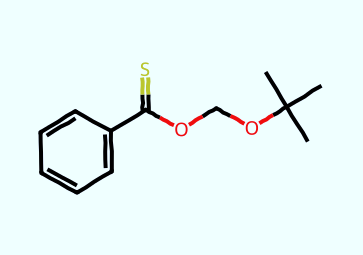 CC(C)(C)OCOC(=S)c1ccccc1